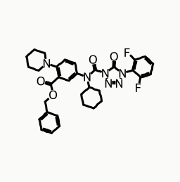 O=C(OCc1ccccc1)c1cc(N(C(=O)n2nnn(-c3c(F)cccc3F)c2=O)C2CCCCC2)ccc1N1CCCCC1